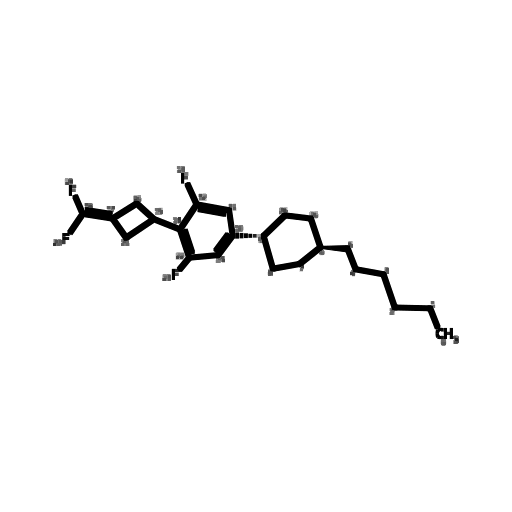 CCCCCC[C@H]1CC[C@H](c2cc(F)c(C3CC(=C(F)F)C3)c(F)c2)CC1